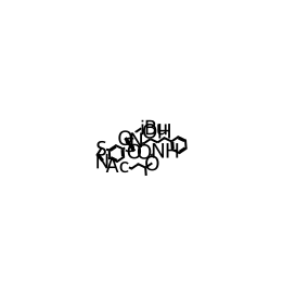 CCC(C)CN(CC(O)C(Cc1ccccc1)NC(=O)OC(C)CCC(C)=O)S(=O)(=O)c1ccc2ncsc2c1